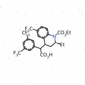 CCOC(=O)N1c2ccc(C(F)(F)F)cc2C(C(C(=O)O)c2cc(C(F)(F)F)cc(C(F)(F)F)c2)C[C@@H]1CC